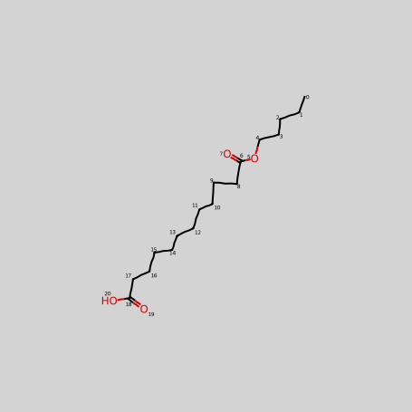 CCCCCOC(=O)CCCCCCCCCCC(=O)O